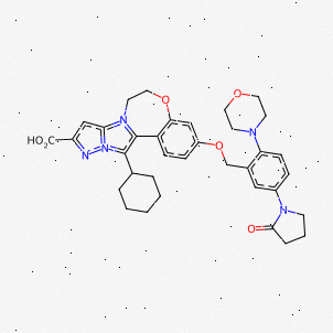 O=C(O)c1cc2n3c(c(C4CCCCC4)n2n1)-c1ccc(OCc2cc(N4CCCC4=O)ccc2N2CCOCC2)cc1OCC3